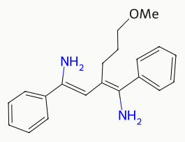 COCCCC(/C=C(\N)c1ccccc1)=C(/N)c1ccccc1